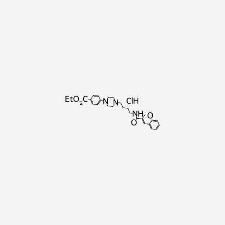 CCOC(=O)c1ccc(N2CCN(CCCCNC(=O)C3=Cc4ccccc4OC3)CC2)cc1.Cl